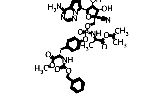 COC(=O)[C@H](Cc1ccc(OP(=O)(N[C@@H](C)C(=O)OC(C)C)OC[C@@]2(C#N)O[C@@H](c3ccc4c(N)ncnn34)[C@H](O)[C@@H]2O)cc1)NC(=O)OCc1ccccc1